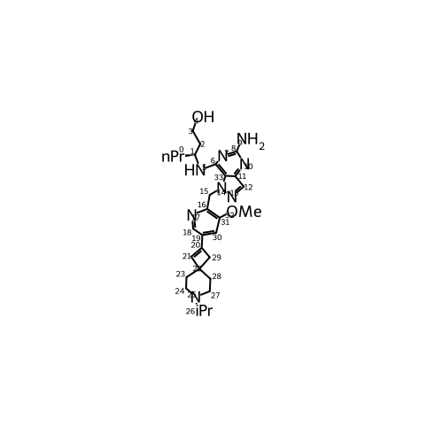 CCC[C@@H](CCO)Nc1nc(N)nc2cnn(Cc3ncc(C4=CC5(CCN(C(C)C)CC5)C4)cc3OC)c12